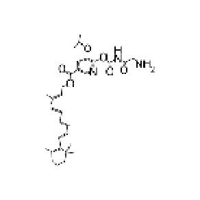 CC(C=CC1=C(C)CCCC1(C)C)=CC=CC(C)=CCOC(=O)c1cnc(OC(=O)NC(=O)CN)c(OC(C)C)c1